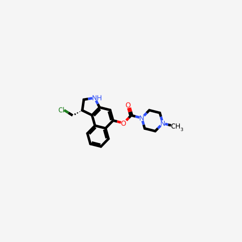 CN1CCN(C(=O)Oc2cc3c(c4ccccc24)[C@H](CCl)CN3)CC1